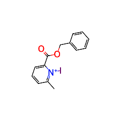 Cc1cccc(C(=O)OCc2ccccc2)[n+]1I